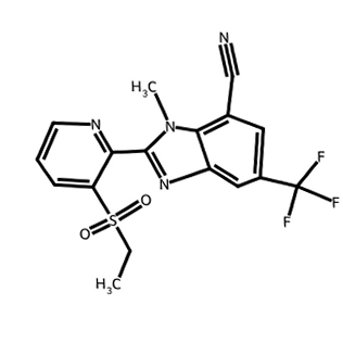 CCS(=O)(=O)c1cccnc1-c1nc2cc(C(F)(F)F)cc(C#N)c2n1C